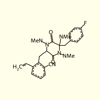 C=Cc1cccc(C#N)c1CC1C(=O)N(NC)C(Cc2ccc(F)cc2)(NC)C(=O)N1NC